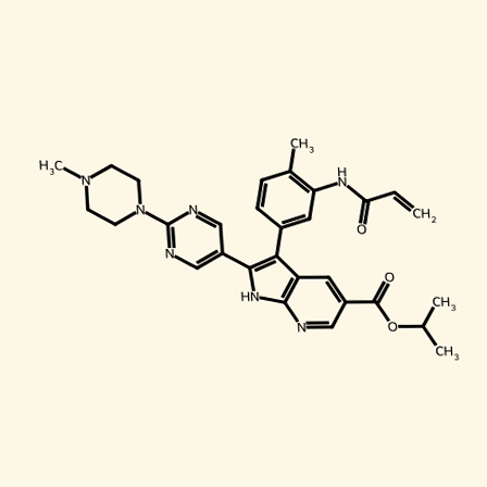 C=CC(=O)Nc1cc(-c2c(-c3cnc(N4CCN(C)CC4)nc3)[nH]c3ncc(C(=O)OC(C)C)cc23)ccc1C